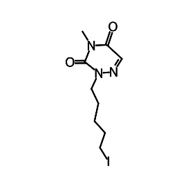 Cn1c(=O)cnn(CCCCCI)c1=O